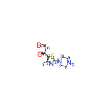 Cc1nc(N2CCN(C)CC2)sc1C(=O)CBr